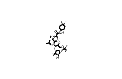 CC(C)C[C@H](NC(=O)C(=O)NC1CCC(F)(F)CC1)C(=O)N[C@@H](C[C@@H]1CCNC1=O)C(=O)COC(F)(F)F